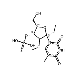 CC[C@@]1(n2cc(C)c(=O)[nH]c2=O)O[C@H](CO)[C@@H](OP(O)(O)=S)C1OC